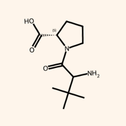 CC(C)(C)C(N)C(=O)N1CCC[C@H]1C(=O)O